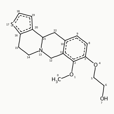 COc1c(OCCO)ccc2c1CN1CCc3sccc3C1C2